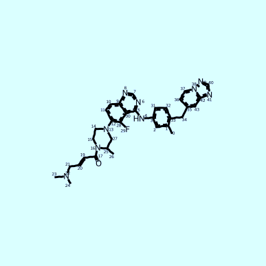 Cc1cc(Nc2ncnc3ccc(N4CCN(C(=O)/C=C/CN(C)C)C(C)C4)c(F)c23)ccc1Cc1ccn2ncnc2c1